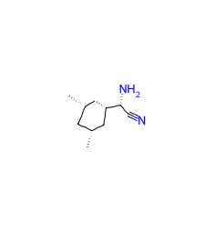 C[C@@H]1C[C@H](C)C[C@H]([C@H](N)C#N)C1